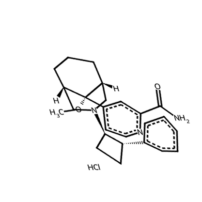 CO[C@@]1(c2ccnc(C(N)=O)c2)[C@@H]2CCC[C@H]1CN([C@@H]1CC[C@H]1c1ccccc1)C2.Cl